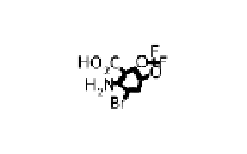 Nc1c(Br)cc2c(c1C(=O)O)OC(F)(F)O2